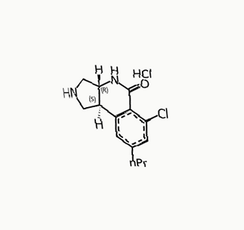 CCCc1cc(Cl)c2c(c1)[C@H]1CNC[C@@H]1NC2=O.Cl